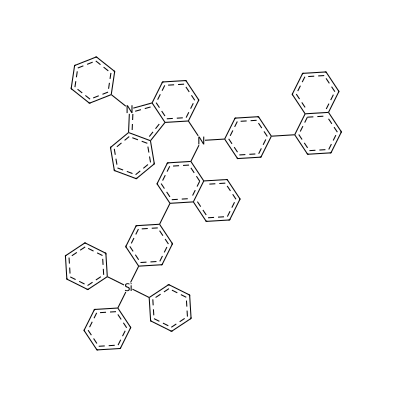 c1ccc(-n2c3ccccc3c3c(N(c4ccc(-c5cccc6ccccc56)cc4)c4ccc(-c5ccc([Si](c6ccccc6)(c6ccccc6)c6ccccc6)cc5)c5ccccc45)cccc32)cc1